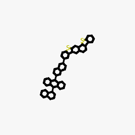 c1ccc2c(-c3c4ccccc4c(-c4ccc5cc(-c6ccc7sc8cc9c(ccc%10c%11ccccc%11sc9%10)cc8c7c6)ccc5c4)c4ccccc34)cccc2c1